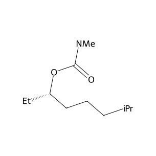 CC[C@@H](CCCC(C)C)OC(=O)NC